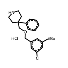 CCCCc1cc(Cl)cc(COCC2(c3ccccc3)CCNCC2)c1.Cl